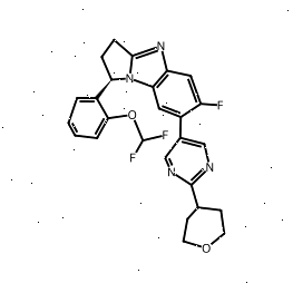 Fc1cc2nc3n(c2cc1-c1cnc(C2CCOCC2)nc1)[C@@H](c1ccccc1OC(F)F)CC3